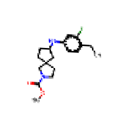 CC(C)(C)OC(=O)N1CCC2(CCC(Nc3ccc(CC#N)c(F)c3)C2)C1